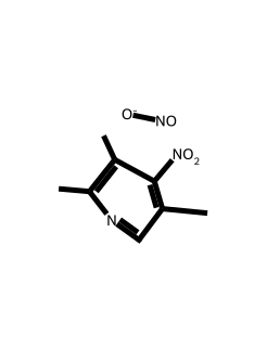 Cc1cnc(C)c(C)c1[N+](=O)[O-].O=[NH+][O-]